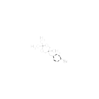 CC1(Cc2ccc(Br)cc2)COC(C)(C)OC1